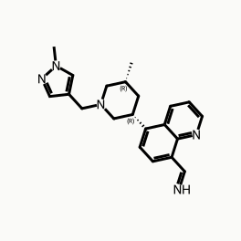 C[C@@H]1C[C@H](c2ccc(C=N)c3ncccc23)CN(Cc2cnn(C)c2)C1